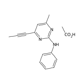 CC#Cc1cc(C)nc(Nc2ccccc2)n1.CC(=O)O